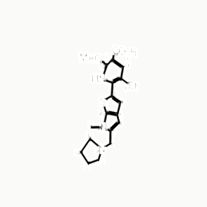 CCC1=C(c2cc3cc(CN4CCCC4)n(C)c3s2)NC(OC)C(C(=O)O)=C1